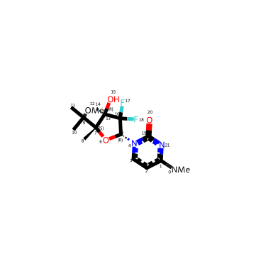 CNc1ccn([C@@H]2O[C@](C)(C(C)(C)OC)[C@@](C)(O)C2(F)F)c(=O)n1